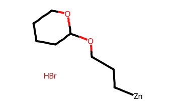 Br.[Zn][CH2]CCOC1CCCCO1